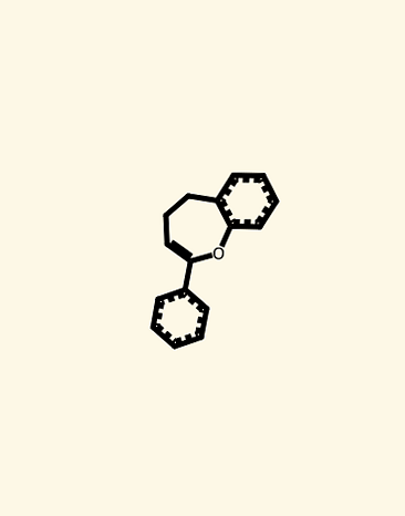 C1=C(c2ccccc2)Oc2ccccc2CC1